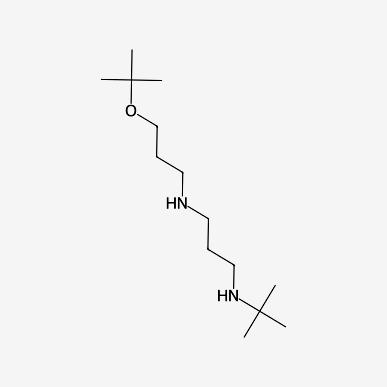 CC(C)(C)NCCCNCCCOC(C)(C)C